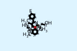 Cc1cc(F)ccc1-c1nc(N(C)CCO)nc2c1CNC[N+]2([O-])c1c(C)cccc1C